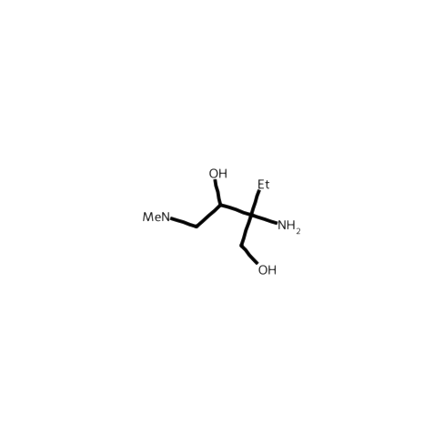 CCC(N)(CO)C(O)CNC